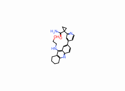 NC(=O)C1(c2cc(-c3ccc4nc5c(c(NCCO)c4c3)CCCC5)ccn2)CC1